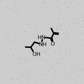 C=C(C)C(=O)NNCC(C)O